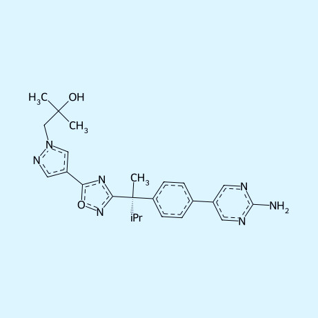 CC(C)[C@](C)(c1ccc(-c2cnc(N)nc2)cc1)c1noc(-c2cnn(CC(C)(C)O)c2)n1